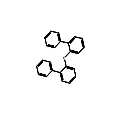 c1ccc(-c2ccccc2[P]c2ccccc2-c2ccccc2)cc1